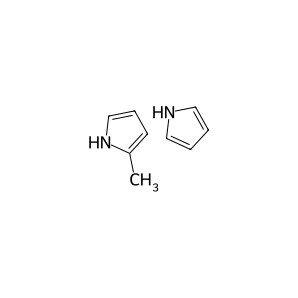 Cc1ccc[nH]1.c1cc[nH]c1